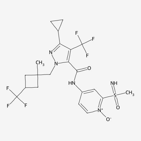 CC1(Cn2nc(C3CC3)c(C(F)(F)F)c2C(=O)Nc2cc[n+]([O-])c(S(C)(=N)=O)c2)CC(C(F)(F)F)C1